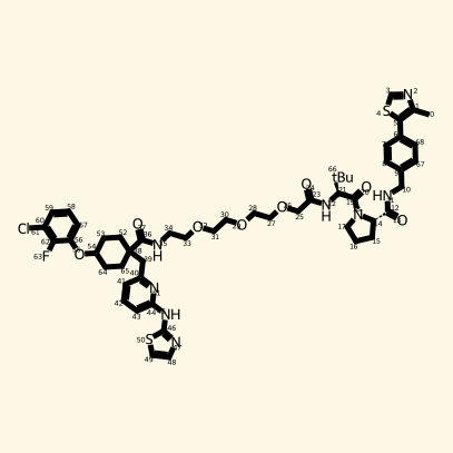 Cc1ncsc1-c1ccc(CNC(=O)[C@@H]2CCCN2C(=O)[C@@H](NC(=O)COCCOCCOCCNC(=O)C2(Cc3cccc(Nc4nccs4)n3)CCC(Oc3cccc(Cl)c3F)CC2)C(C)(C)C)cc1